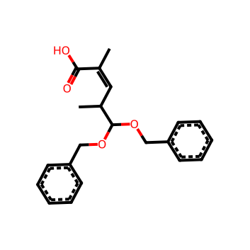 CC(=CC(C)C(OCc1ccccc1)OCc1ccccc1)C(=O)O